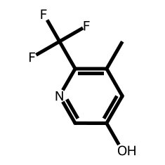 Cc1cc(O)cnc1C(F)(F)F